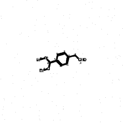 CCOC(OCC)c1ccc(CC=O)cc1